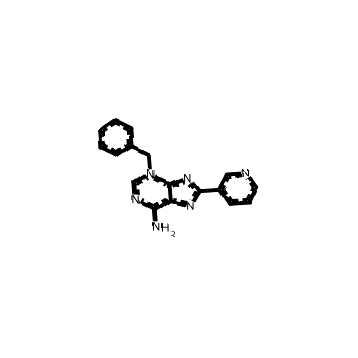 Nc1ncn(Cc2ccccc2)c2nc(-c3cccnc3)nc1-2